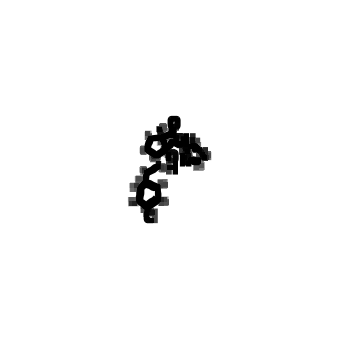 C[C@]1(C(=O)O)CC[C@@H](CCc2ccc(Cl)cc2)[C@@]1(O)Cn1cncn1